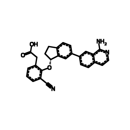 N#Cc1cccc(CC(=O)O)c1O[C@@H]1CCc2ccc(-c3ccc4ccnc(N)c4c3)cc21